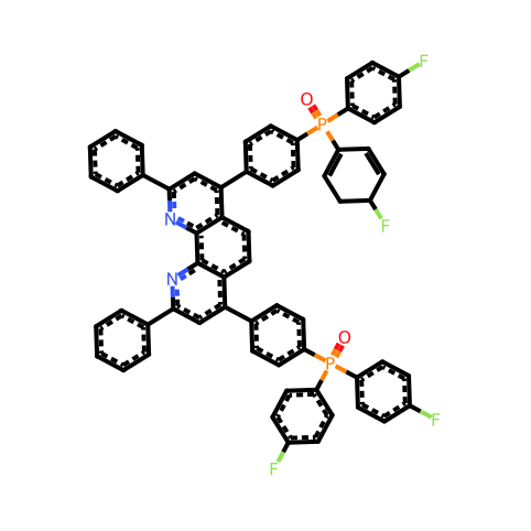 O=P(C1=CCC(F)C=C1)(c1ccc(F)cc1)c1ccc(-c2cc(-c3ccccc3)nc3c2ccc2c(-c4ccc(P(=O)(c5ccc(F)cc5)c5ccc(F)cc5)cc4)cc(-c4ccccc4)nc23)cc1